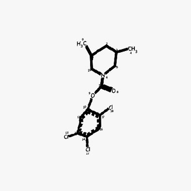 CC1CC(C)CN(C(=O)Oc2cc(Cl)c(Cl)cc2Cl)C1